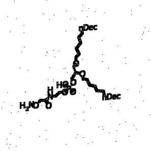 CCCCCCCCCCCCCCCCOC[C@H](COP(=O)(O)OCCNC(=O)CON)OCCCCCCCCCCCCCCCC